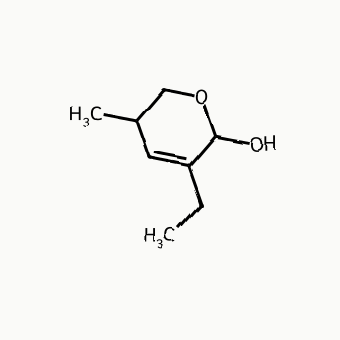 CCC1=CC(C)COC1O